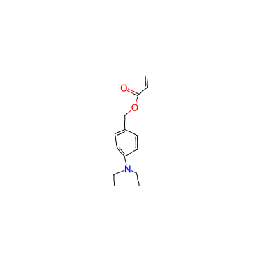 C=CC(=O)OCc1ccc(N(CC)CC)cc1